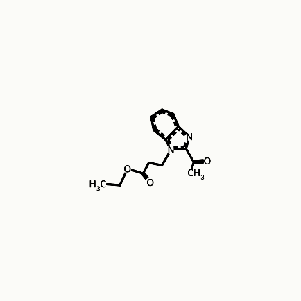 CCOC(=O)CCn1c(C(C)=O)nc2ccccc21